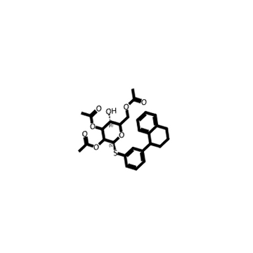 CC(=O)OCC1O[C@@H](Sc2cccc(C3CCCc4ccccc43)c2)C(OC(C)=O)C(OC(C)=O)[C@@H]1O